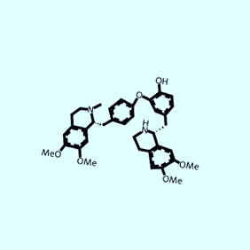 COc1cc2c(cc1OC)[C@@H](Cc1ccc(Oc3cc(C[C@H]4NCCc5cc(OC)c(OC)cc54)ccc3O)cc1)N(C)CC2